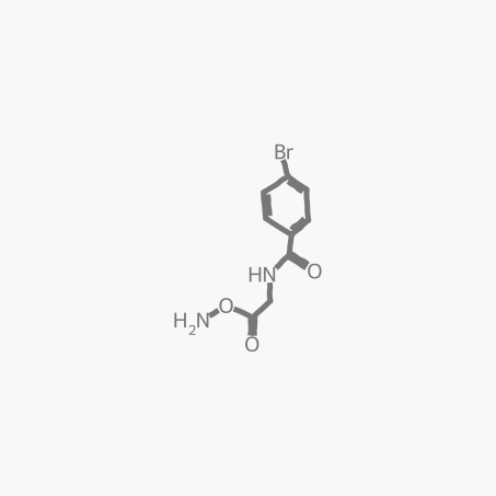 NOC(=O)CNC(=O)c1ccc(Br)cc1